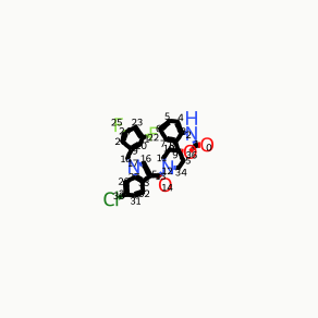 O=C1Nc2ccccc2C2(CCN(C(=O)c3cn(Cc4cc(F)cc(F)c4)c4cc(Cl)ccc34)CC2)O1